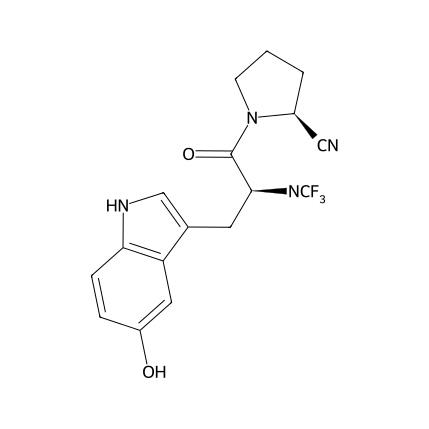 N#C[C@@H]1CCCN1C(=O)[C@H](Cc1c[nH]c2ccc(O)cc12)NC(F)(F)F